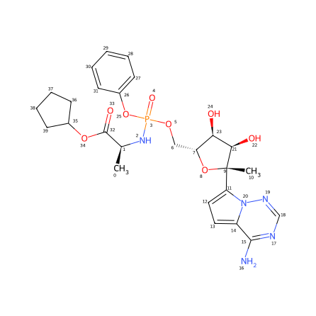 C[C@H](NP(=O)(OC[C@H]1O[C@@](C)(c2ccc3c(N)ncnn23)[C@H](O)[C@@H]1O)Oc1ccccc1)C(=O)OC1CCCC1